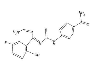 C=C(/N=C(\C=C/N)c1cc(F)ccc1O)Nc1ccc(C(N)=O)cc1